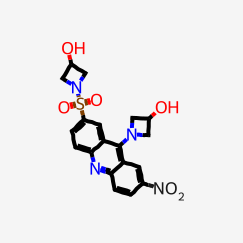 O=[N+]([O-])c1ccc2nc3ccc(S(=O)(=O)N4CC(O)C4)cc3c(N3CC(O)C3)c2c1